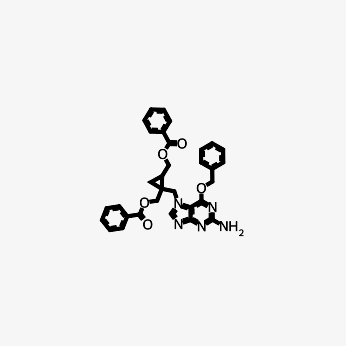 Nc1nc(OCc2ccccc2)c2c(ncn2CC2(COC(=O)c3ccccc3)CC2COC(=O)c2ccccc2)n1